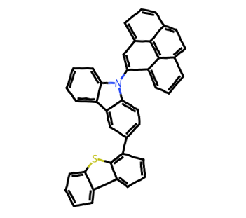 c1cc2ccc3cccc4c(-n5c6ccccc6c6cc(-c7cccc8c7sc7ccccc78)ccc65)cc(c1)c2c34